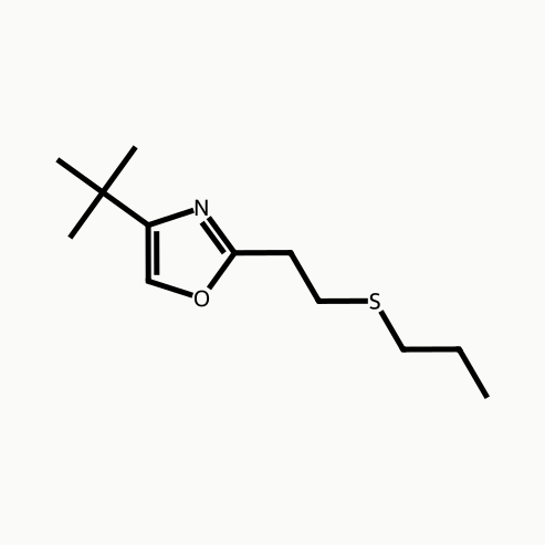 CCCSCCc1nc(C(C)(C)C)co1